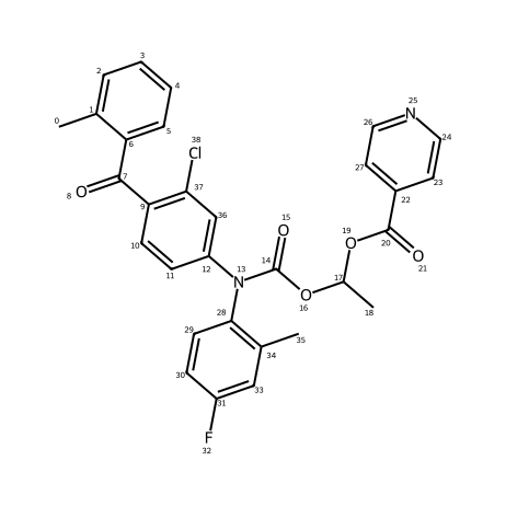 Cc1ccccc1C(=O)c1ccc(N(C(=O)OC(C)OC(=O)c2ccncc2)c2ccc(F)cc2C)cc1Cl